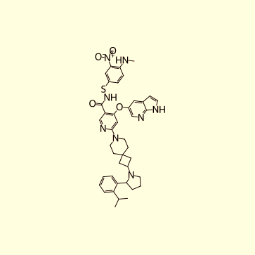 CNc1ccc(SNC(=O)c2cnc(N3CCC4(CC3)CC(N3CCCC3c3ccccc3C(C)C)C4)cc2Oc2cnc3[nH]ccc3c2)cc1[N+](=O)[O-]